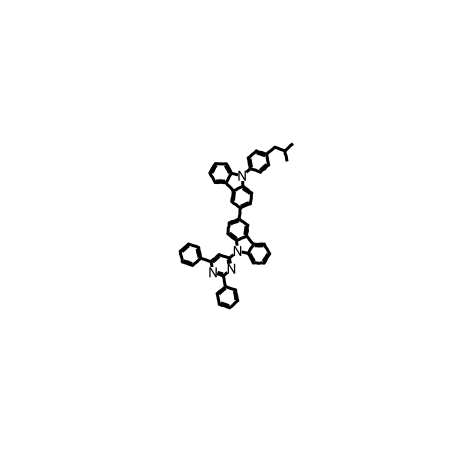 CC(C)Cc1ccc(-n2c3ccccc3c3cc(-c4ccc5c(c4)c4ccccc4n5-c4cc(-c5ccccc5)nc(-c5ccccc5)n4)ccc32)cc1